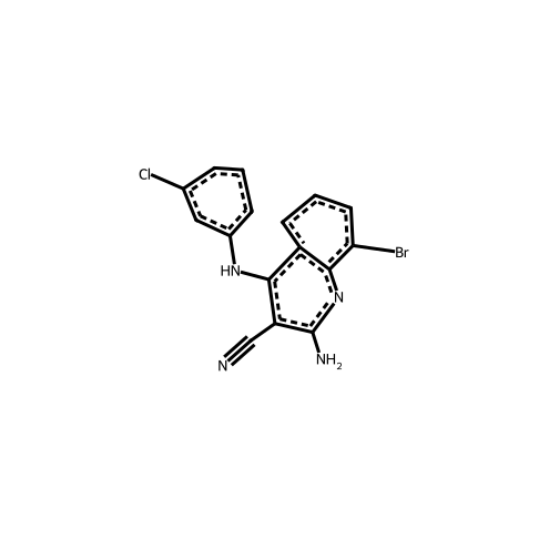 N#Cc1c(N)nc2c(Br)cccc2c1Nc1cccc(Cl)c1